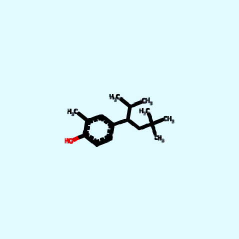 Cc1cc(C(CC(C)(C)C)C(C)C)ccc1O